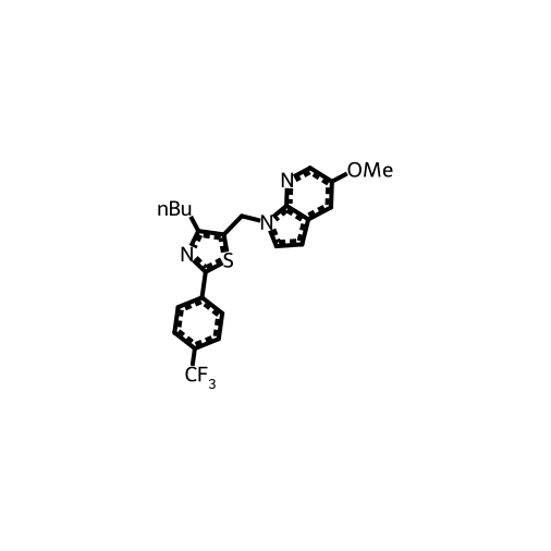 CCCCc1nc(-c2ccc(C(F)(F)F)cc2)sc1Cn1ccc2cc(OC)cnc21